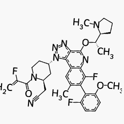 C=C(F)C(=O)N1CC[C@H](n2nnc3c(O[C@@H](C)[C@@H]4CCCN4C)nc4c(F)c(-c5c(F)cccc5OC)c(C)cc4c32)C[C@H]1CC#N